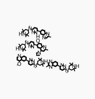 COc1ccnc2ccc(-c3ccc(N(C)C4CC(C)(C)NC(C)(C)C4)nn3)cc12.Cc1cc(N2CCC2)c2cc(-c3ccc(N(C)C4CC(C)(C)NC(C)(C)C4)nn3)c(O)cc2n1.Cc1cnc2cc(-c3ccc(N(C)C4CC(C)(C)NC(C)(C)C4)nn3)ccc2n1.Cc1cnc2ccc(-c3ccc(N(C)C4CC(C)(C)NC(C)(C)C4)nn3)cc2n1